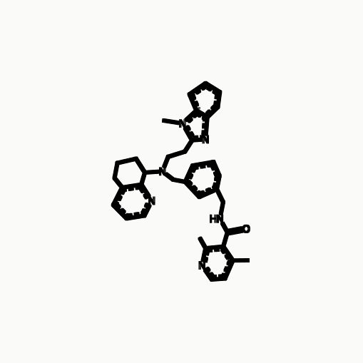 Cc1ccnc(C)c1C(=O)NCc1cccc(CN(CCc2nc3ccccc3n2C)C2CCCc3cccnc32)c1